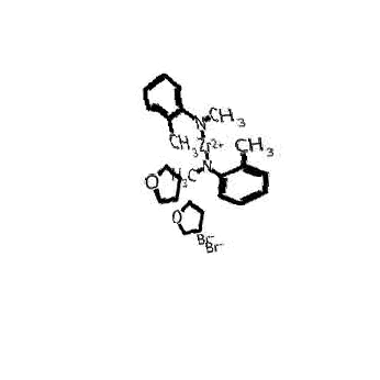 C1CCOC1.C1CCOC1.Cc1ccccc1[N](C)[Zr+2][N](C)c1ccccc1C.[Br-].[Br-]